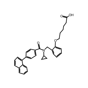 O=C(O)CCCCCOc1ccccc1CN(C(=O)c1ccc(-c2cccc3ccccc23)cc1)C1CC1